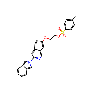 Cc1ccc(S(=O)(=O)OCCOc2ccc3cc(-n4cc5ccccc5c4)ncc3c2)cc1